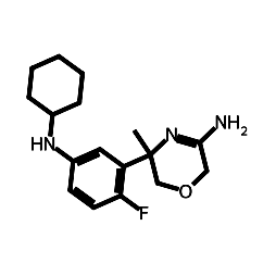 CC1(c2cc(NC3CCCCC3)ccc2F)COCC(N)=N1